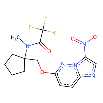 CN(C(=O)C(F)(F)F)C1(COc2ccc3ncc([N+](=O)[O-])n3n2)CCCC1